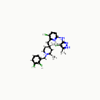 Cc1[nH]nc(Nc2ccc(F)c(C[C@@]3(C(=O)O)CCN(Cc4cccc(Cl)c4F)[C@H](C)C3)n2)c1F